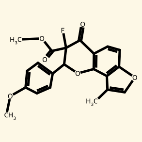 COC(=O)C1(F)C(=O)c2ccc3occ(C)c3c2OC1c1ccc(OC)cc1